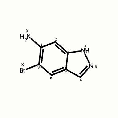 Nc1cc2[nH]ncc2cc1Br